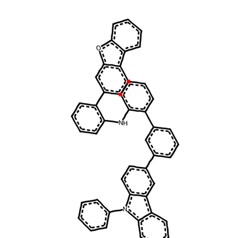 c1ccc(-n2c3ccccc3c3cc(-c4cccc(-c5ccccc5Nc5ccccc5-c5ccc6c(c5)oc5ccccc56)c4)ccc32)cc1